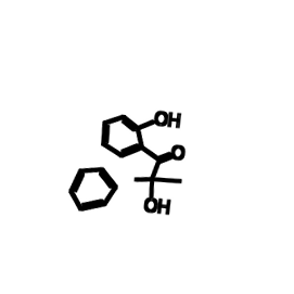 CC(C)(O)C(=O)c1ccccc1O.c1ccccc1